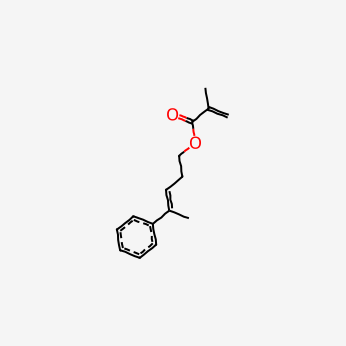 C=C(C)C(=O)OCCC=C(C)c1ccccc1